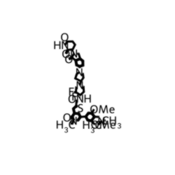 COc1cc(-c2cn(C)c(=O)c3cc(C(=O)N[C@H]4CCN(C5CCN(c6ccc7c(c6)C(=O)N([C@@H]6CCC(=O)NC6=O)C7)CC5)CC4(F)F)sc23)cc(OC)c1CN(C)C